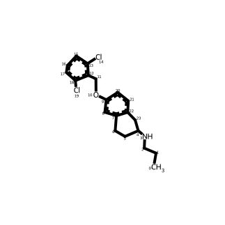 CCCNC1CCc2cc(OCc3c(Cl)cccc3Cl)ccc2C1